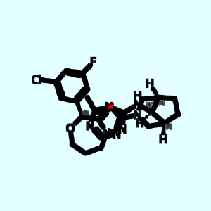 Cc1cc(N2C[C@H]3CC[C@@H](C2)[C@@H]3Nc2nc3n(n2)CCCO[C@H]3c2cc(F)cc(Cl)c2)ncn1